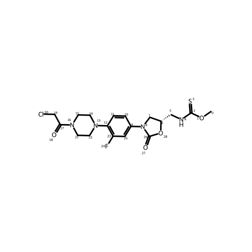 COC(=S)NC[C@H]1CN(c2ccc(N3CCN(C(=O)CCl)CC3)c(F)c2)C(=O)O1